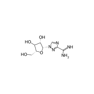 N=C(N)c1ncn([C@@H]2O[C@H](CO)C(O)[C@@H]2O)n1